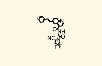 N#CC1CC(F)(F)CN1C(=O)CNC(=O)c1ccnc2ccc(C=Cc3ccncc3)cc12